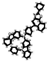 c1ccc(-c2nc3cc(-c4ccc(N(c5ccc6oc7ccccc7c6c5)c5ccc6c7ccccc7n(-c7ccccc7)c6c5)cc4)c4ccccc4c3o2)cc1